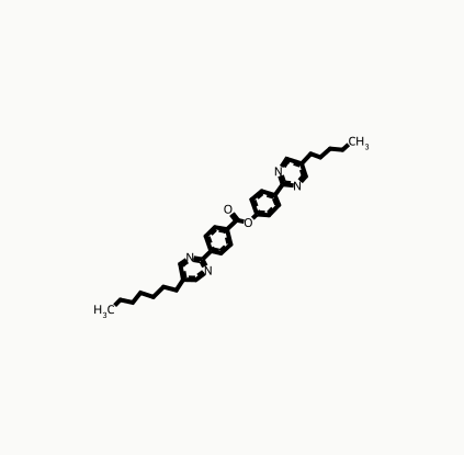 CCCCCCCc1cnc(-c2ccc(C(=O)Oc3ccc(-c4ncc(CCCCC)cn4)cc3)cc2)nc1